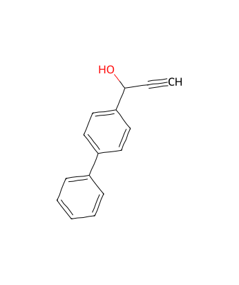 C#CC(O)c1ccc(-c2ccccc2)cc1